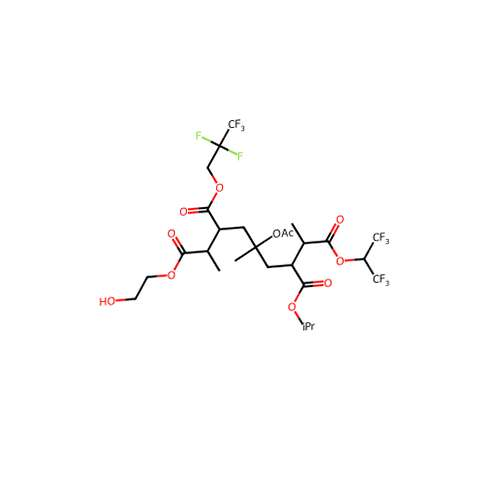 CC(=O)OC(C)(CC(C(=O)OCC(F)(F)C(F)(F)F)C(C)C(=O)OCCO)CC(C(=O)OC(C)C)C(C)C(=O)OC(C(F)(F)F)C(F)(F)F